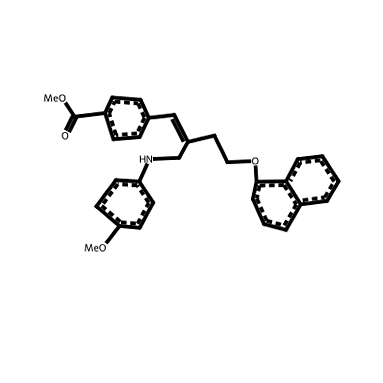 COC(=O)c1ccc(C=C(CCOc2cccc3ccccc23)CNc2ccc(OC)cc2)cc1